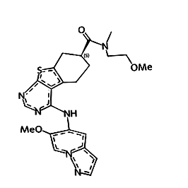 COCCN(C)C(=O)[C@H]1CCc2c(sc3ncnc(Nc4cc5ccnn5cc4OC)c23)C1